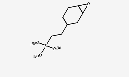 CC(C)CO[Si](CCC1CCC2OC2C1)(OCC(C)C)OCC(C)C